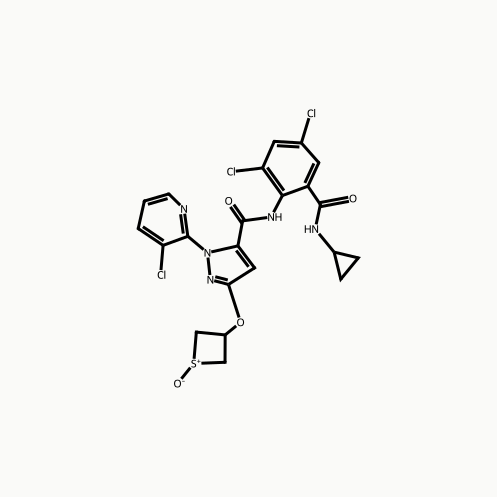 O=C(NC1CC1)c1cc(Cl)cc(Cl)c1NC(=O)c1cc(OC2C[S+]([O-])C2)nn1-c1ncccc1Cl